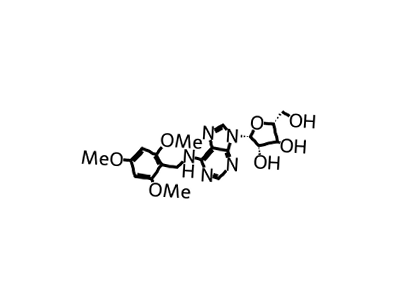 COc1cc(OC)c(CNc2ncnc3c2ncn3[C@@H]2O[C@H](CO)[C@@H](O)[C@@H]2O)c(OC)c1